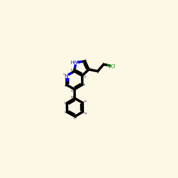 ClC[CH]c1c[nH]c2ncc(-c3ccccc3)cc12